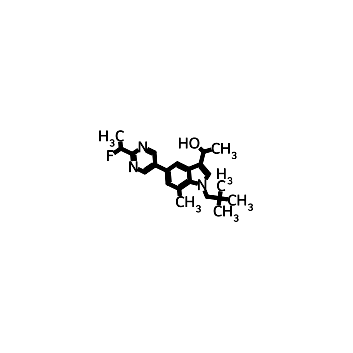 Cc1cc(-c2cnc(C(C)F)nc2)cc2c(C(C)O)cn(CC(C)(C)C)c12